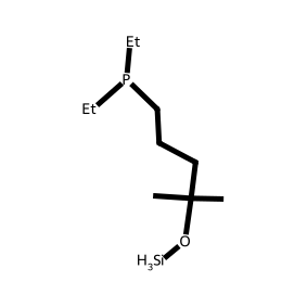 CCP(CC)CCCC(C)(C)O[SiH3]